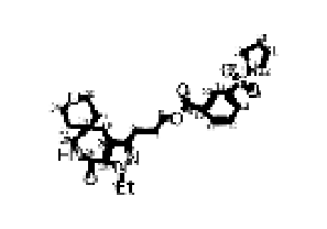 CCn1nc(CCCOC(=O)c2cccc(S(=O)(=O)N3CCCC3)c2)c2c1C(=O)NCC1(CCOCC1)C2